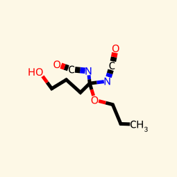 CCCOC(CCCO)(N=C=O)N=C=O